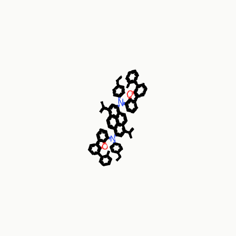 CCc1ccc(N(c2cc(C(C)C)c3ccc4c(N(c5ccc(CC)cc5)c5cccc6c5oc5c(-c7ccccc7C)cccc56)cc(C(C)C)c5ccc2c3c54)c2cccc3c2oc2c(-c4ccccc4C)cccc23)cc1